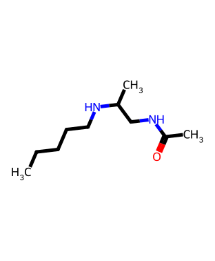 CCCCCNC(C)CNC(C)=O